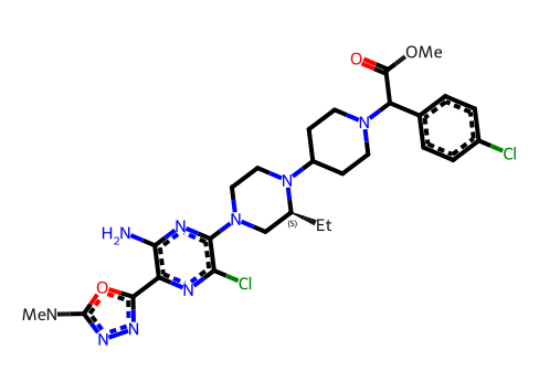 CC[C@H]1CN(c2nc(N)c(-c3nnc(NC)o3)nc2Cl)CCN1C1CCN(C(C(=O)OC)c2ccc(Cl)cc2)CC1